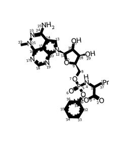 COC(=O)C(NP(=O)(OC[C@H]1O[C@@H](n2cc3c4c(ncnc42)N(C)N=C3N)C(O)[C@H]1O)Oc1ccccc1)C(C)C